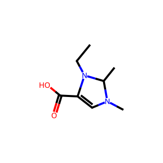 CCN1C(C(=O)O)=CN(C)C1C